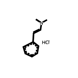 CN(C)C=Cc1ccccc1.Cl